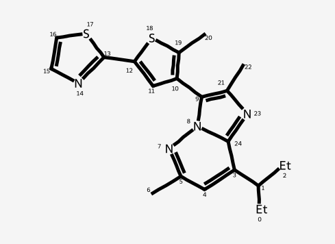 CCC(CC)c1cc(C)nn2c(-c3cc(-c4nccs4)sc3C)c(C)nc12